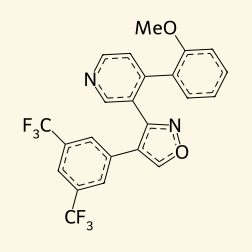 COc1ccccc1-c1ccncc1-c1nocc1-c1cc(C(F)(F)F)cc(C(F)(F)F)c1